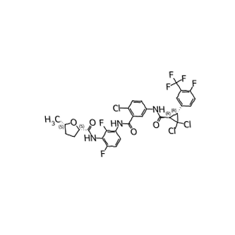 C[C@H]1CC[C@@H](C(=O)Nc2c(F)ccc(NC(=O)c3cc(NC(=O)[C@H]4[C@H](c5ccc(F)c(C(F)(F)F)c5)C4(Cl)Cl)ccc3Cl)c2F)O1